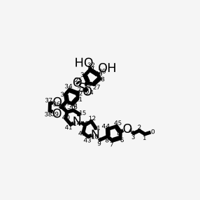 CCCCOc1ccc(CN2CCC(N3CCC(C4(c5ccc(S(=O)(=O)c6ccc(O)c(O)c6)cc5)OCCO4)CC3)CC2)cc1